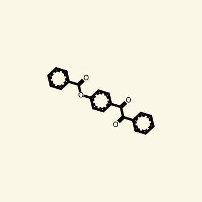 O=C(Oc1ccc(C(=O)C(=O)c2ccccc2)cc1)c1ccccc1